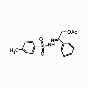 CC(=O)OCC(=NNS(=O)(=O)c1ccc(C)cc1)c1ccccc1